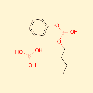 CCCCOB(O)Oc1ccccc1.OB(O)O